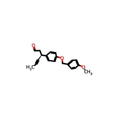 CC#C[C@@H](CC=O)c1ccc(OCc2ccc(OC)cc2)cc1